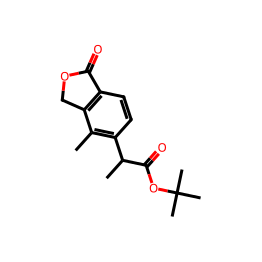 Cc1c(C(C)C(=O)OC(C)(C)C)ccc2c1COC2=O